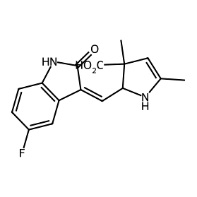 CC1=CC(C)(C(=O)O)C(C=C2C(=O)Nc3ccc(F)cc32)N1